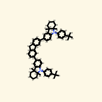 CC(C)(C)c1ccc(N2c3ccc(-c4ccc5c(c4)-c4cc(-c6ccc7c(c6)C6(C)CCCCC6(C)N7c6ccc(C(C)(C)C)cc6)ccc4C5)cc3C3(C)CCCCC23C)cc1